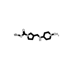 CN1CCC(NCC2CCN(C(=O)OC(C)(C)C)C2)CC1